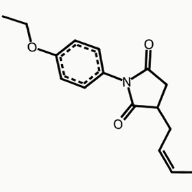 C/C=C\CC1CC(=O)N(c2ccc(OCC)cc2)C1=O